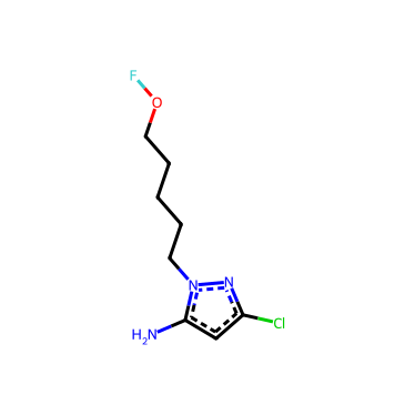 Nc1cc(Cl)nn1CCCCCOF